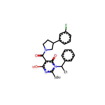 CCCCc1nc(O)c(C(=O)N2CCC(c3cccc(F)c3)C2)c(=O)n1C(CC)c1ccccc1